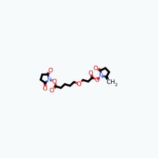 C=C1CCC(=O)N1OC(=O)CCOCCCCC(=O)ON1C(=O)CCC1=O